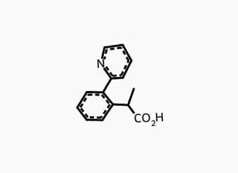 CC(C(=O)O)c1ccccc1-c1ccccn1